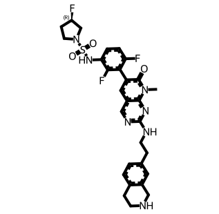 Cn1c(=O)c(-c2c(F)ccc(NS(=O)(=O)N3CC[C@@H](F)C3)c2F)cc2cnc(NCCc3ccc4c(c3)CNCC4)nc21